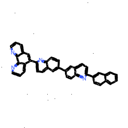 c1ccc2cc(-c3ccc4cc(-c5ccc6nc(-c7cc8cccnc8c8ncccc78)ccc6c5)ccc4n3)ccc2c1